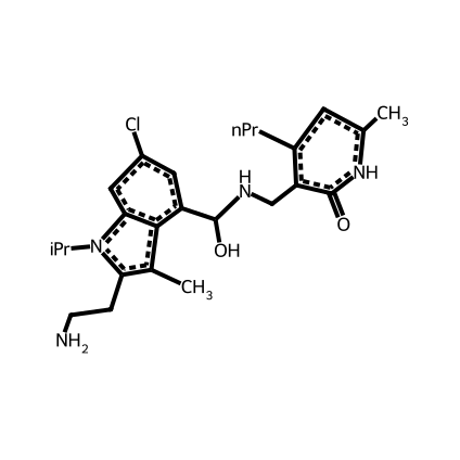 CCCc1cc(C)[nH]c(=O)c1CNC(O)c1cc(Cl)cc2c1c(C)c(CCN)n2C(C)C